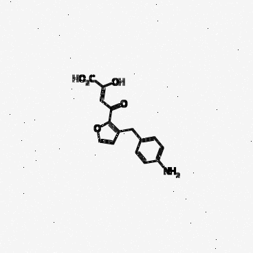 Nc1ccc(Cc2ccoc2C(=O)C=C(O)C(=O)O)cc1